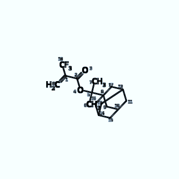 C=C(C(=O)OC(C)(C)C12CC3CC(CC(C3)C1)C2)C(F)(F)F